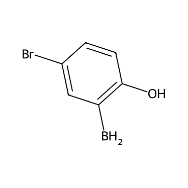 Bc1cc(Br)ccc1O